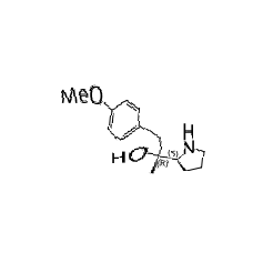 COc1ccc(C[C@@](C)(O)[C@@H]2CCCN2)cc1